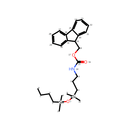 CCCC[Si](C)(C)O[Si](C)(C)CCCNC(=O)OCC1c2ccccc2-c2ccccc21